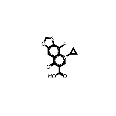 O=C(O)c1cn(C2CC2)c2c(F)c3c(cc2c1=O)OCS3